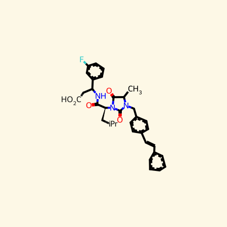 CC(C)C[C@@H](C(=O)NC(CC(=O)O)c1cccc(F)c1)N1C(=O)C(C)N(Cc2ccc(/C=C/c3ccccc3)cc2)C1=O